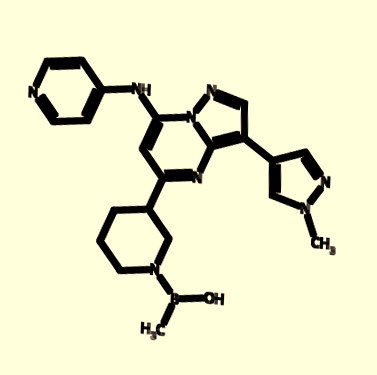 CB(O)N1CCCC(c2cc(Nc3ccncc3)n3ncc(-c4cnn(C)c4)c3n2)C1